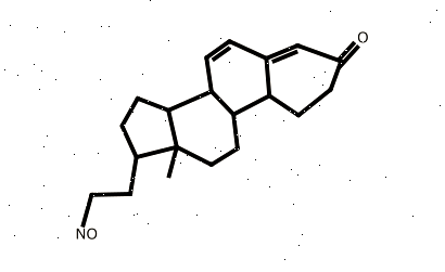 CC12CCC3C4CCC(=O)C=C4C=CC3C1CCC2CCN=O